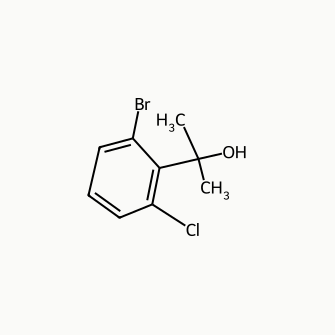 CC(C)(O)c1c(Cl)cccc1Br